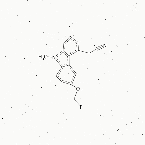 Cn1c2ccc(OCF)cc2c2c(CC#N)cccc21